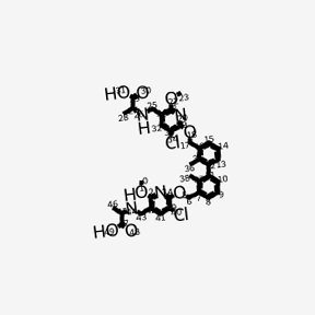 COc1nc(OCc2cccc(-c3cccc(COc4nc(OC)c(CNC(C)C(=O)O)cc4Cl)c3C)c2C)c(Cl)cc1CNC(C)C(=O)O